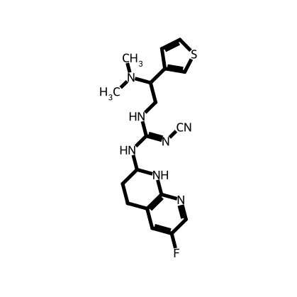 CN(C)C(CNC(=NC#N)NC1CCc2cc(F)cnc2N1)c1ccsc1